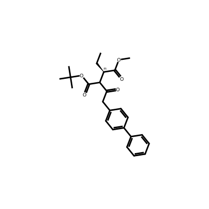 CC[C@@H](C(=O)OC)C(C(=O)Cc1ccc(-c2ccccc2)cc1)C(=O)OC(C)(C)C